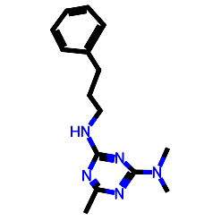 Cc1nc(NCCCc2ccccc2)nc(N(C)C)n1